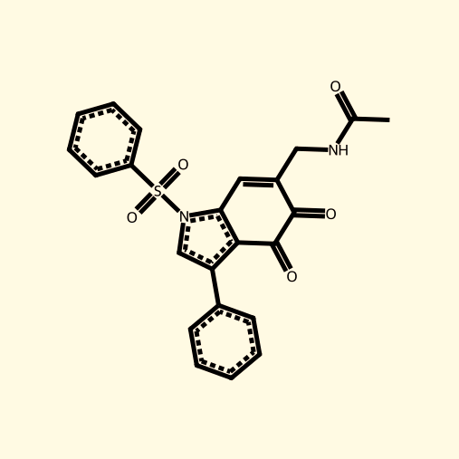 CC(=O)NCC1=Cc2c(c(-c3ccccc3)cn2S(=O)(=O)c2ccccc2)C(=O)C1=O